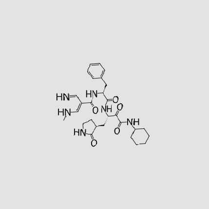 CN/C=C(\C=N)C(=O)N[C@@H](Cc1ccccc1)C(=O)N[C@@H](C[C@@H]1CCNC1=O)C(=O)C(=O)NC1CCCCC1